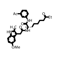 CCC(=O)CCCCC[C@H](NC(=O)Cc1c(C)[nH]c2ccc(OC)cc12)C(=O)Nc1cccc(C(C)=O)c1